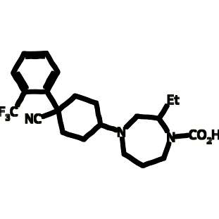 CCC1CN(C2CCC(C#N)(c3ccccc3C(F)(F)F)CC2)CCCN1C(=O)O